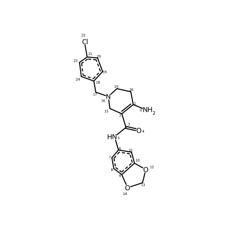 NC1=C(C(=O)Nc2ccc3c(c2)OCO3)CN(Cc2ccc(Cl)cc2)CC1